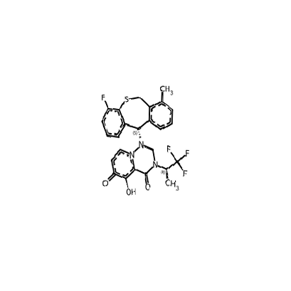 Cc1cccc2c1CSc1c(F)cccc1[C@H]2N1CN([C@H](C)C(F)(F)F)C(=O)c2c(O)c(=O)ccn21